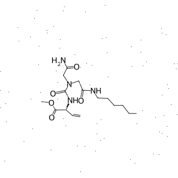 C=C[C@H](NC(=O)N(CC(N)=O)CC(=O)NCCCCCC)C(=O)OC